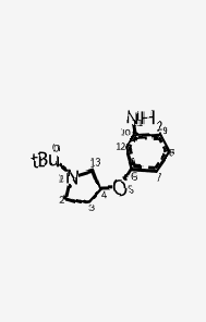 CC(C)(C)N1CCC(Oc2cccc(N)c2)C1